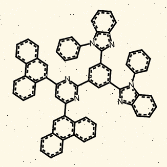 c1ccc(-n2c(-c3cc(-c4nc(-c5cc6ccccc6c6ccccc56)cc(-c5cc6ccccc6c6ccccc56)n4)cc(-c4nc5ccccc5n4-c4ccccc4)c3)nc3ccccc32)cc1